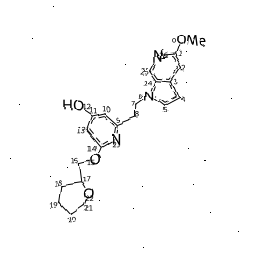 COc1cc2ccn(CCc3cc(O)cc(OCC4CCCCO4)n3)c2cn1